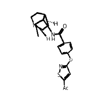 CC(=O)c1cc(Oc2ccc(C(=O)N[C@@H]3C4CCN(CC4)[C@H]3C)cc2)ns1